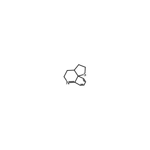 C1=CC2=NCCC3CCSC23C=C1